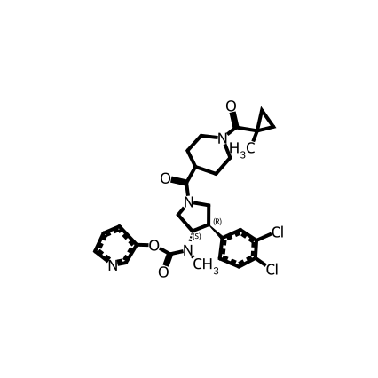 CN(C(=O)Oc1cccnc1)[C@@H]1CN(C(=O)C2CCN(C(=O)C3(C)CC3)CC2)C[C@H]1c1ccc(Cl)c(Cl)c1